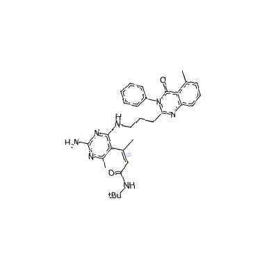 C/C(=C/C(=O)NC(C)(C)C)c1c(C)nc(N)nc1NCCCc1nc2cccc(C)c2c(=O)n1-c1ccccc1